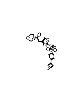 O=C(Cc1csc(NS(=O)(=O)c2ccc(-c3ccsc3)cc2)n1)N1CCOCC1